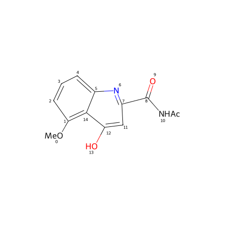 COc1cccc2nc(C(=O)NC(C)=O)cc(O)c12